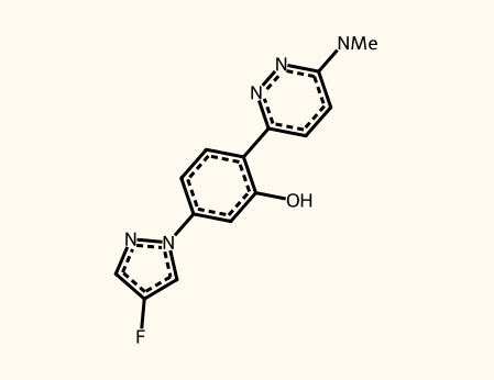 CNc1ccc(-c2ccc(-n3cc(F)cn3)cc2O)nn1